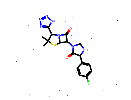 CC1(C)SC2C(N3CNC(c4ccc(Cl)cc4)C3=O)C(=O)N2C1c1nnn[nH]1